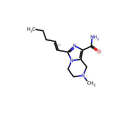 CCC/C=C/c1nc(C(N)=O)c2n1CCN(C)C2